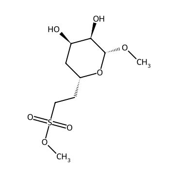 CO[C@@H]1O[C@H](CCS(=O)(=O)OC)C[C@@H](O)[C@H]1O